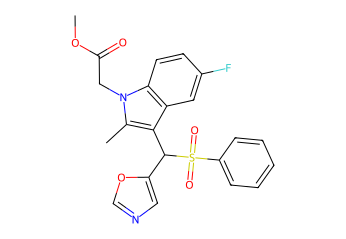 COC(=O)Cn1c(C)c(C(c2cnco2)S(=O)(=O)c2ccccc2)c2cc(F)ccc21